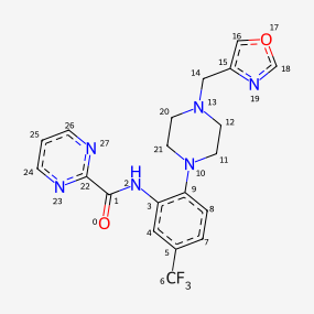 O=C(Nc1cc(C(F)(F)F)ccc1N1CCN(Cc2cocn2)CC1)c1ncccn1